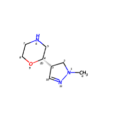 CN1CC([C@H]2CNCCO2)C=N1